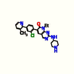 CCn1c(=O)c(-c2ccc(-c3ncccc3C)cc2Cl)cc2cnc(NC3CCNCC3)nc21